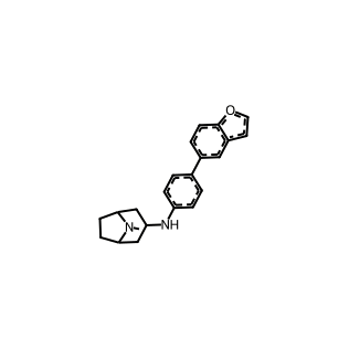 CN1C2CCC1CC(Nc1ccc(-c3ccc4occc4c3)cc1)C2